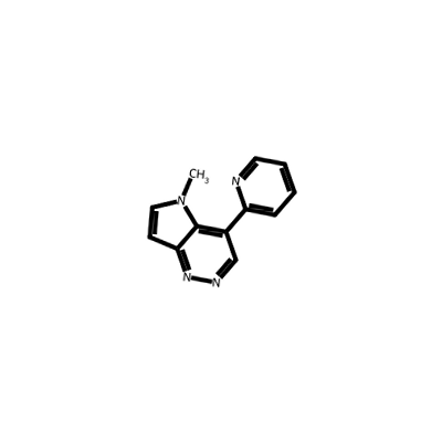 Cn1ccc2nncc(-c3ccccn3)c21